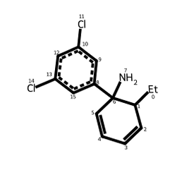 CCC1C=CC=CC1(N)c1cc(Cl)cc(Cl)c1